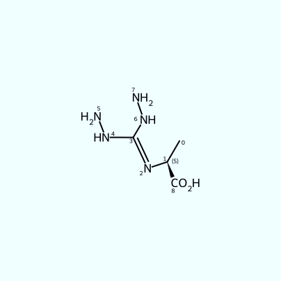 C[C@H](N=C(NN)NN)C(=O)O